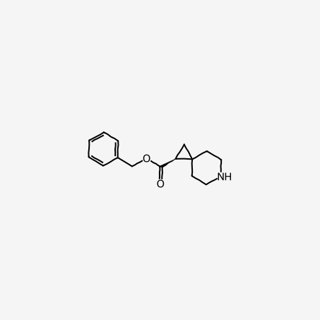 O=C(OCc1ccccc1)[C@H]1CC12CCNCC2